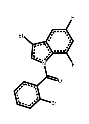 [CH2]Cc1cn(C(=O)c2ccccc2Br)c2c(F)cc(F)cc12